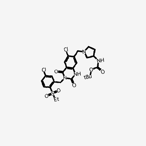 CCS(=O)(=O)c1ccc(Cl)cc1Cn1c(=O)[nH]c2cc(CN3CCC(NC(=O)OC(C)(C)C)C3)c(Cl)cc2c1=O